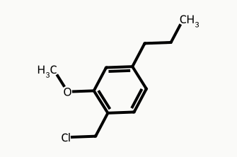 CCCc1ccc(CCl)c(OC)c1